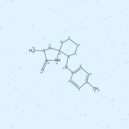 Cc1ccc(OC2CCCCC23NC(=O)C(C)O3)cc1